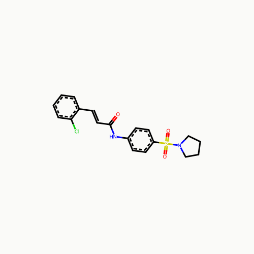 O=C(/C=C/c1ccccc1Cl)Nc1ccc(S(=O)(=O)N2CCCC2)cc1